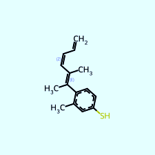 C=C/C=C\C(C)=C(/C)c1ccc(S)cc1C